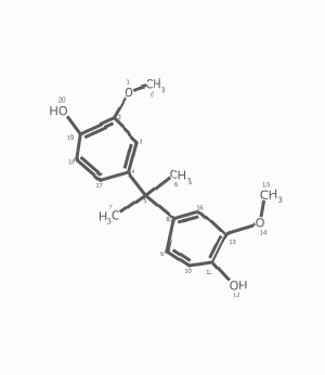 COc1cc(C(C)(C)c2ccc(O)c(OC)c2)ccc1O